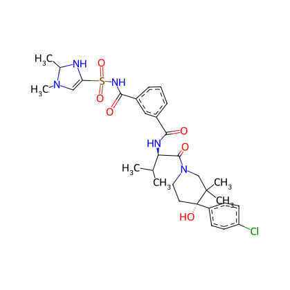 CC(C)[C@@H](NC(=O)c1cccc(C(=O)NS(=O)(=O)C2=CN(C)C(C)N2)c1)C(=O)N1CC[C@](O)(c2ccc(Cl)cc2)C(C)(C)C1